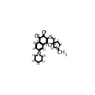 CN1CCC2(CSC3=C(O2)c2cc(N4CCCCC4)ccc2C(=O)C3=O)C1